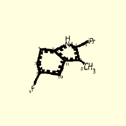 Cc1c(C(C)C)[nH]c2ccc(F)cc12